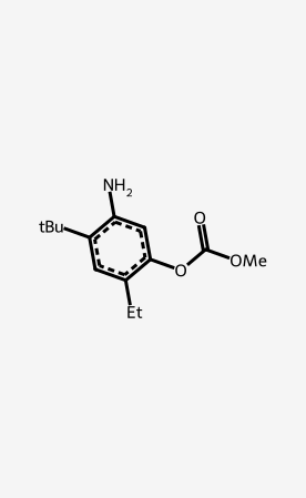 CCc1cc(C(C)(C)C)c(N)cc1OC(=O)OC